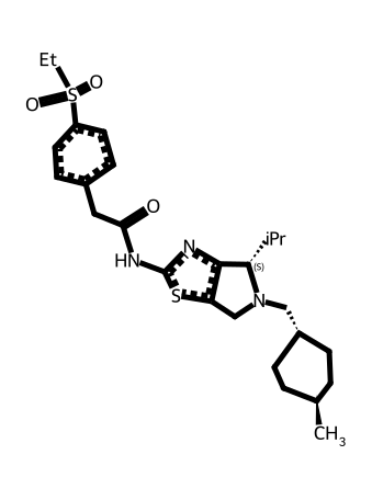 CCS(=O)(=O)c1ccc(CC(=O)Nc2nc3c(s2)CN(C[C@H]2CC[C@H](C)CC2)[C@H]3C(C)C)cc1